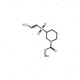 C/C=C/S(=O)(=O)C1CCCN(C(=O)OC(C)(C)C)C1